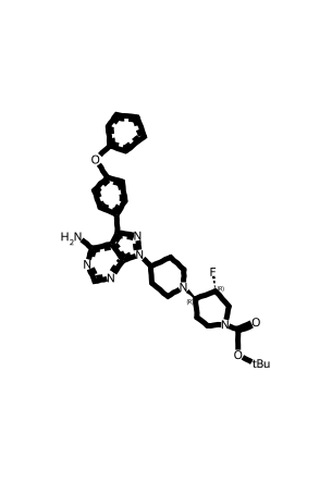 CC(C)(C)OC(=O)N1CC[C@@H](N2CCC(n3nc(-c4ccc(Oc5ccccc5)cc4)c4c(N)ncnc43)CC2)[C@H](F)C1